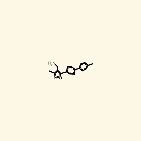 Cc1ccc(-c2ccc(-c3onc(C)c3CN)cc2)cc1